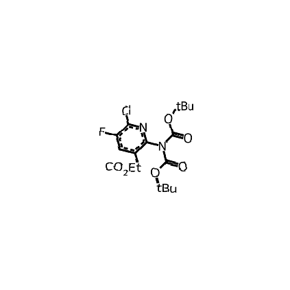 CCOC(=O)c1cc(F)c(Cl)nc1N(C(=O)OC(C)(C)C)C(=O)OC(C)(C)C